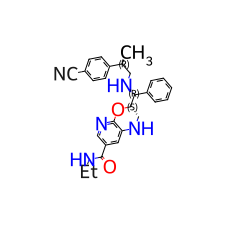 CCNC(=O)c1cnc2c(c1)NC[C@@H]([C@H](NC[C@H](C)c1ccc(C#N)cc1)c1ccccc1)O2